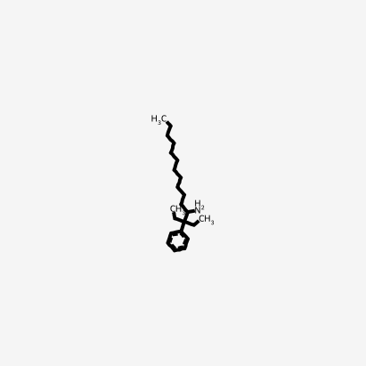 CCCCCCCCCCCC(N)C(CC)(CC)c1ccccc1